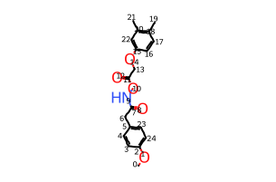 COc1ccc(CC(=O)NOC(=O)COc2ccc(C)c(C)c2)cc1